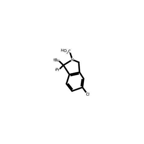 CC(C)C1(C(C)(C)C)c2ccc(Cl)cc2CN1C(=O)O